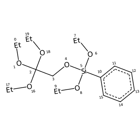 CCOC(CO[Si](OCC)(OCC)c1ccccc1)(OCC)OCC